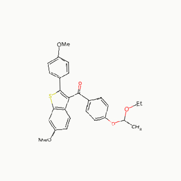 CCOC(C)Oc1ccc(C(=O)c2c(-c3ccc(OC)cc3)sc3cc(OC)ccc23)cc1